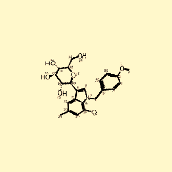 COc1ccc(Cn2cc([C@@H]3O[C@H](CO)[C@@H](O)[C@H](O)[C@H]3O)c3cc(C)cc(Cl)c32)cc1